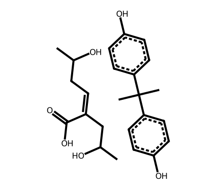 CC(C)(c1ccc(O)cc1)c1ccc(O)cc1.CC(O)CC=C(CC(C)O)C(=O)O